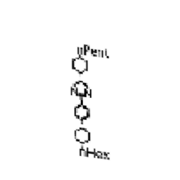 CCCCCC[C@H]1CC[C@H](c2ccc(-c3ncc([C@H]4CC[C@H](CCCCC)CC4)cn3)cc2)CC1